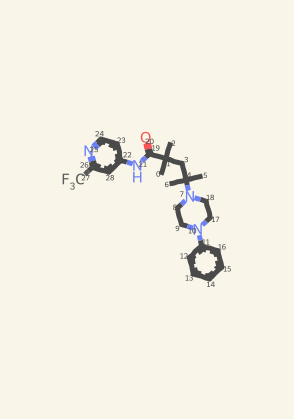 CC(C)(CC(C)(C)N1CCN(c2ccccc2)CC1)C(=O)Nc1ccnc(C(F)(F)F)c1